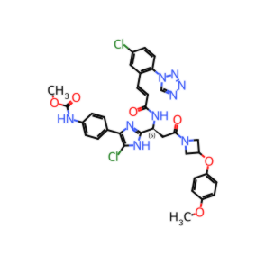 COC(=O)Nc1ccc(-c2nc([C@H](CC(=O)N3CC(Oc4ccc(OC)cc4)C3)NC(=O)C=Cc3cc(Cl)ccc3-n3cnnn3)[nH]c2Cl)cc1